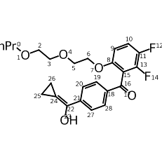 CCCOCCOCCOc1ccc(F)c(F)c1C(=O)c1ccc(C(O)=C2CC2)cc1